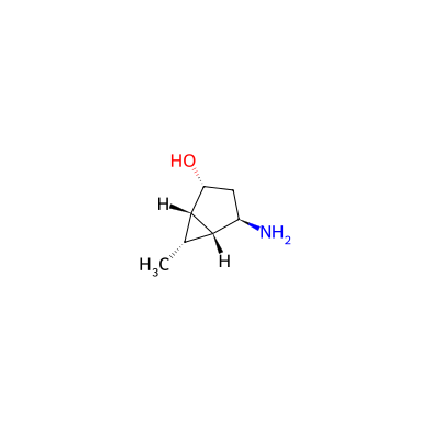 C[C@H]1[C@@H]2[C@H]1[C@H](O)C[C@H]2N